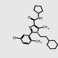 Cc1ccc(Cl)cc1-c1nc(C(=O)NC2CCCC2)c(C)n1CCC1CCCCC1